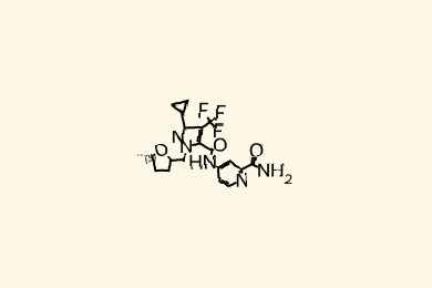 C[C@H]1CCC(Cn2nc(C3CC3)c(C(F)(F)F)c2C(=O)Nc2ccnc(C(N)=O)c2)O1